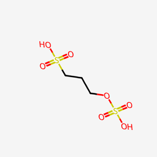 O=S(=O)(O)CCCOS(=O)(=O)O